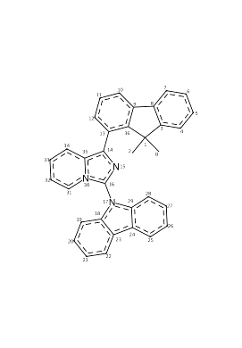 CC1(C)c2ccccc2-c2cccc(-c3nc(-n4c5ccccc5c5ccccc54)n4ccccc34)c21